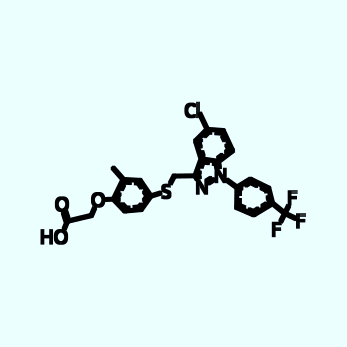 Cc1cc(SCc2nn(-c3ccc(C(F)(F)F)cc3)c3ccc(Cl)cc23)ccc1OCC(=O)O